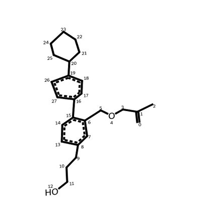 C=C(C)COCc1cc(CCCO)ccc1-c1ccc(C2CCCCC2)cc1